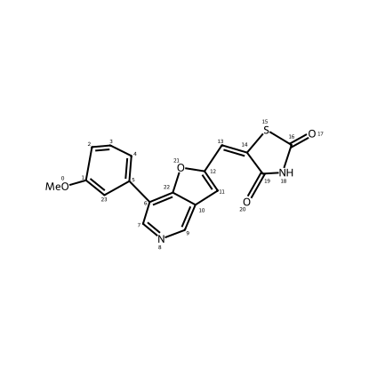 COc1cccc(-c2cncc3cc(C=C4SC(=O)NC4=O)oc23)c1